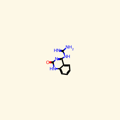 N=C(N)Nc1nc(=O)[nH]c2ccccc12